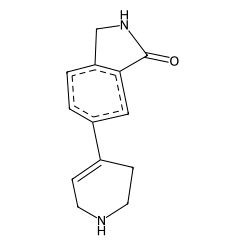 O=C1NCc2ccc(C3=CCNCC3)cc21